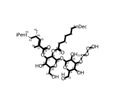 CCCCCCCCCCCCCCCC(=O)OC1C(OC2OC(CO)C(O)C(OSOOO)C2O)OC(CO)C(O)C1OC(=O)/C(C)=C/[C@@H](C)C[C@@H](C)CCC